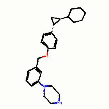 c1cc(COc2ccc([C@@H]3C[C@H]3C3CCCCC3)cc2)cc(N2CCNCC2)c1